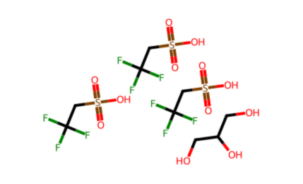 O=S(=O)(O)CC(F)(F)F.O=S(=O)(O)CC(F)(F)F.O=S(=O)(O)CC(F)(F)F.OCC(O)CO